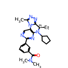 CC[C@@H]1c2nnc(C)n2-c2cnc(-c3cccc(C(=O)N(C)C)c3)nc2N1C1CCCC1